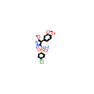 COc1nn(C)c(NS(=O)(=O)c2ccc(Cl)cc2)c1-c1ccc2c(c1)OCO2